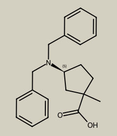 CC1(C(=O)O)CC[C@H](N(Cc2ccccc2)Cc2ccccc2)C1